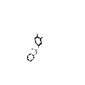 Cc1cc(SC(C=O)Cc2ccccc2)ccc1Br